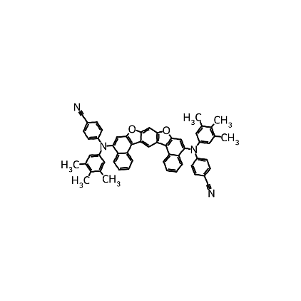 Cc1cc(N(c2ccc(C#N)cc2)c2cc3oc4cc5oc6cc(N(c7ccc(C#N)cc7)c7cc(C)c(C)c(C)c7)c7ccccc7c6c5cc4c3c3ccccc23)cc(C)c1C